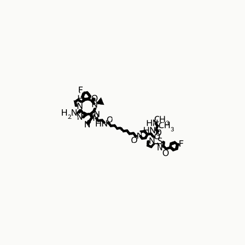 CN[C@H](C)C(=O)N[C@@H](C(=O)N1CCC[C@@H]1C1=NC(C(=O)c2ccc(F)cc2)CS1)C1CCN(C(=O)CCCCCCCCC(=O)NCCn2nc3c(c2C#N)-c2cnc(N)c(c2)N2CCC[C@@H]2c2cc(F)ccc2C(=O)N(C2CC2)C3)CC1